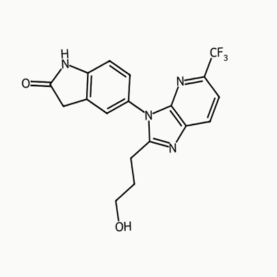 O=C1Cc2cc(-n3c(CCCO)nc4ccc(C(F)(F)F)nc43)ccc2N1